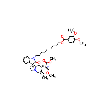 CC[C@H]1CN2CC[C@]3(C(=O)N(CCCCCCCCCOC(=O)c4ccc(OC)c(OC)c4)c4ccccc43)C2C[C@@H]1/C(=C\OC)C(=O)OC